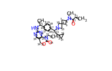 C=CC(=O)N(C)C1CC2(C1)CN(C(CC1CC1)c1ccc([C@H](C)Nc3ncc4c(n3)N(CC)C(=O)OC4)cc1)C2